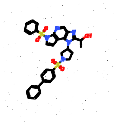 CC(O)c1nc2cnc3c(ccn3S(=O)(=O)c3ccccc3)c2n1C1CCN(S(=O)(=O)c2ccc(-c3ccccc3)cc2)C1